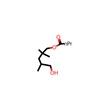 CCCC(=O)OCC(C)(C)CC(C)CO